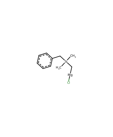 C[Si](C)([CH2][Mg][Cl])Cc1ccccc1